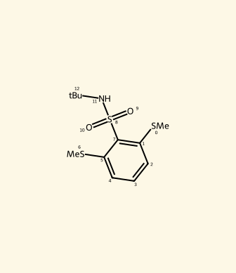 CSc1cccc(SC)c1S(=O)(=O)NC(C)(C)C